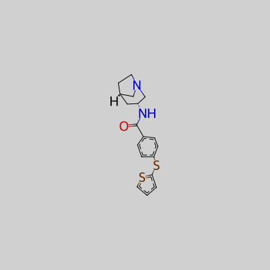 O=C(N[C@@H]1C[C@@H]2CCN(C2)C1)c1ccc(Sc2cccs2)cc1